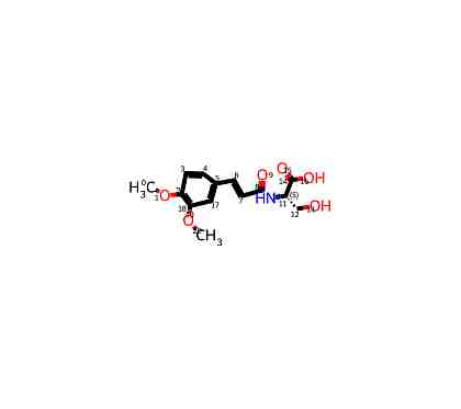 COc1ccc(C=CC(=O)N[C@@H](CO)C(=O)O)cc1OC